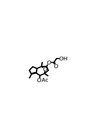 CC(=O)OC1C2=C(C)CCC2C2(C)OC1(C)CC2OC(=O)CO